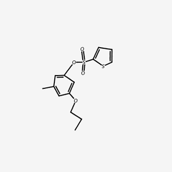 CCCOc1cc(C)cc(OS(=O)(=O)c2cccs2)c1